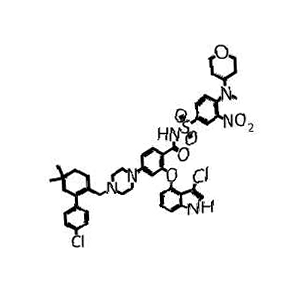 CN(c1ccc(S(=O)(=O)NC(=O)c2ccc(N3CCN(CC4=C(c5ccc(Cl)cc5)CC(C)(C)CC4)CC3)cc2Oc2cccc3[nH]cc(Cl)c23)cc1[N+](=O)[O-])C1CCOCC1